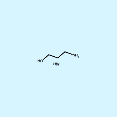 Br.NCCCO